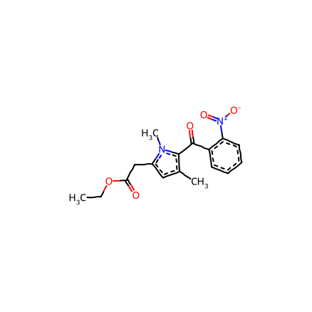 CCOC(=O)Cc1cc(C)c(C(=O)c2ccccc2[N+](=O)[O-])n1C